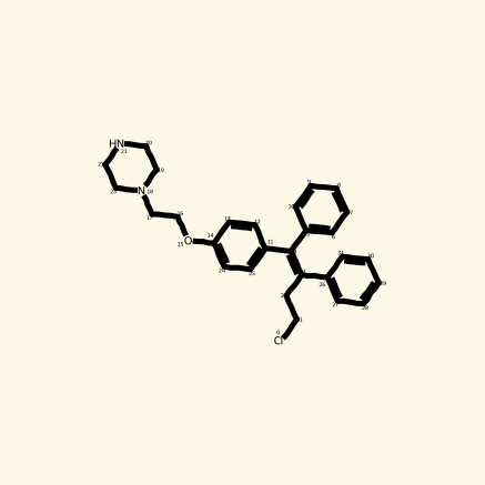 ClCCC(=C(c1ccccc1)c1ccc(OCCN2CCNCC2)cc1)c1ccccc1